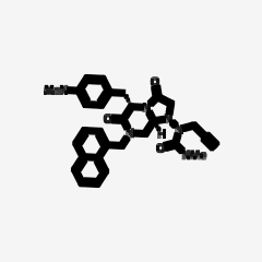 C#CCN(C(=O)NC)N1CC(=O)N2[C@@H](Cc3ccc(NC)cc3)C(=O)N(Cc3cccc4ccccc34)C[C@@H]21